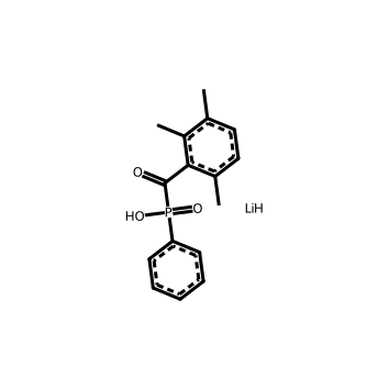 Cc1ccc(C)c(C(=O)P(=O)(O)c2ccccc2)c1C.[LiH]